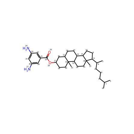 CC(C)CCCC(C)C1CCC2C3CCC4CC(OC(=O)c5cc(N)cc(N)c5)CCC4(C)C3CCC12C